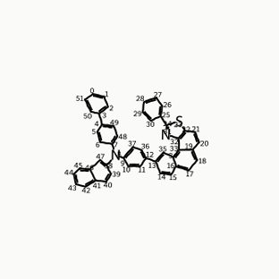 c1ccc(-c2ccc(N(c3ccc(-c4ccc5ccc6ccc7sc(-c8ccccc8)nc7c6c5c4)cc3)c3ccc4ccccc4c3)cc2)cc1